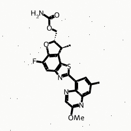 COc1cnc2c(-c3nc4cc(F)c5c(c4s3)[C@H](C)[C@@H](COC(N)=O)O5)cc(C)cc2n1